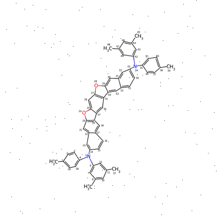 Cc1ccc(N(c2cc(C)cc(C)c2)c2ccc3cc4c(cc3c2)oc2cc3oc5cc6cc(N(c7ccc(C)cc7)c7cc(C)cc(C)c7)ccc6cc5c3cc24)cc1